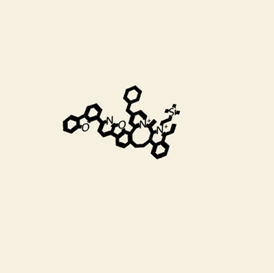 C=CC1=[N+](CC[Si](C)(C)C)C2C(=C)[n+]3ccc(CC4CCCCC4)cc3-c3c(ccc4c3oc3nc(-c5cccc6c5oc5ccccc56)ccc34)CCC2c2ccccc21